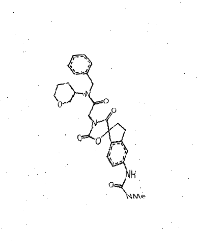 CNC(=O)Nc1ccc2c(c1)CCC21OC(=O)N(CC(=O)N(Cc2ccccc2)C2CCCOC2)C1=O